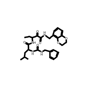 CCC(NC(=O)C(CC(C)C)NC(=O)NCc1ccccc1)C(=O)C(=O)NCc1cccc2c1OCCO2